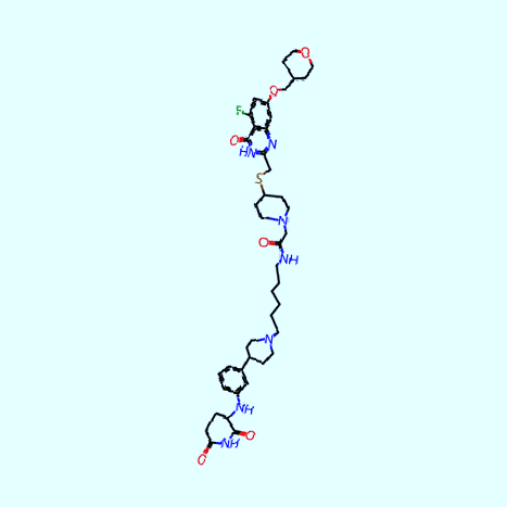 O=C(CN1CCC(SCc2nc3cc(OCC4CCOCC4)cc(F)c3c(=O)[nH]2)CC1)NCCCCCCN1CCC(c2cccc(NC3CCC(=O)NC3=O)c2)CC1